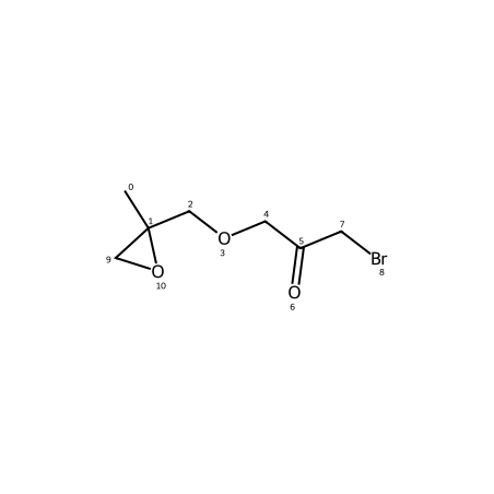 CC1(COCC(=O)CBr)CO1